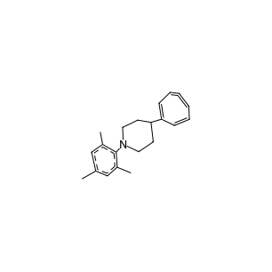 Cc1cc(C)c(N2CCC(C3=CC=C=CC=C3)CC2)c(C)c1